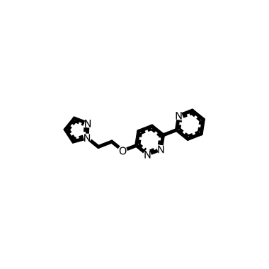 c1ccc(-c2ccc(OCCn3cccn3)nn2)nc1